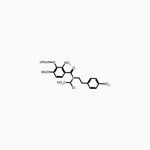 CCCCCOc1c(OC)ccc(C(=O)N(CCc2ccc([N+](=O)[O-])cc2)C(CC)C(=O)O)c1[N+](=O)[O-]